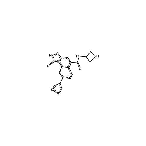 O=C(NC1CNC1)c1cc2n[nH]c(=O)n2c2cc(-c3ccsc3)ccc12